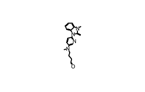 C=C1N(C)c2ccccc2N1c1ccc(N(C)CCCC=O)cn1